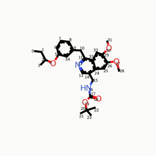 CCC(C)Oc1cccc(Cc2ncc(CNC(=O)OC(C)(C)C)c3cc(OC)c(OC)cc23)c1